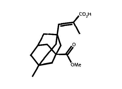 COC(=O)C12CC3CC(C)(CC(C=C(C)C(=O)O)(C3)C1)C2